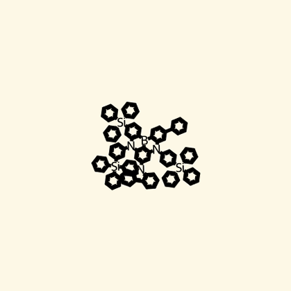 c1ccc(-c2ccc3c(c2)N(c2ccc([Si](c4ccccc4)(c4ccccc4)c4ccccc4)cc2)c2cc(-n4c5ccccc5c5ccccc54)cc4c2B3c2ccc([Si](c3ccccc3)(c3ccccc3)c3ccccc3)cc2N4c2cccc([Si](c3ccccc3)(c3ccccc3)c3ccccc3)c2)cc1